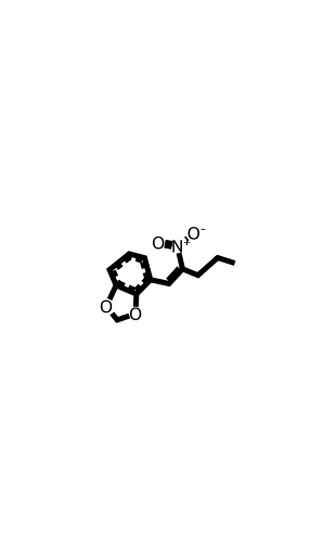 CCCC(=Cc1cccc2c1OCO2)[N+](=O)[O-]